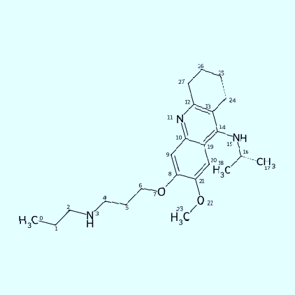 CCCNCCCOc1cc2nc3c(c(NC(C)C)c2cc1OC)CCCC3